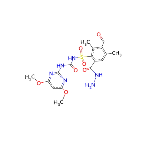 COc1cc(OC)nc(NC(=O)NS(=O)(=O)c2c(C(=O)NN)cc(C)c(C=O)c2C)n1